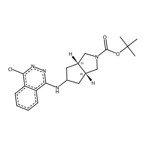 CC(C)(C)OC(=O)N1C[C@H]2CC(Nc3nnc(Cl)c4ccccc34)C[C@H]2C1